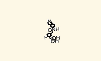 O=C(Cc1ccc(F)c(CB(O)O)c1)Nc1ccc2cnccc2c1